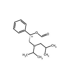 CC(C)CN(C[C@@H](OC=O)c1ccccc1)C(C)C